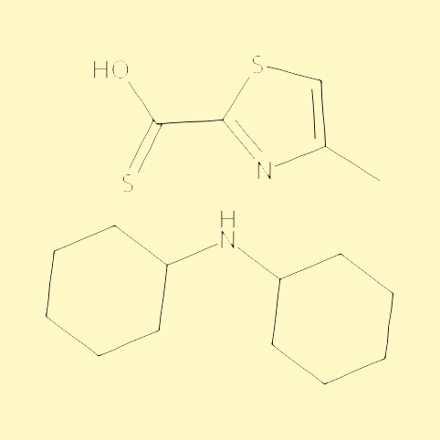 C1CCC(NC2CCCCC2)CC1.Cc1csc(C(O)=S)n1